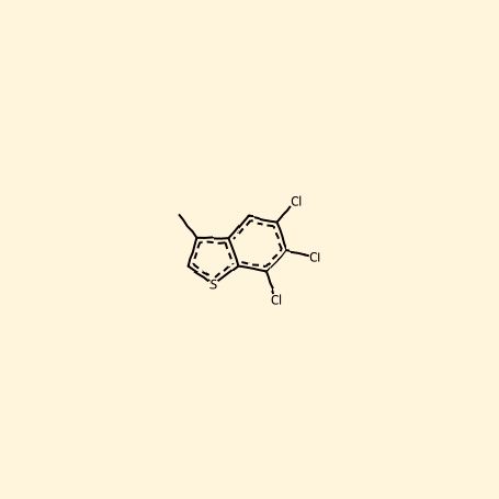 Cc1csc2c(Cl)c(Cl)c(Cl)cc12